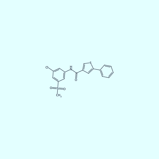 CS(=O)(=O)c1cc(Cl)cc(NC(=O)c2csc(-c3ccccc3)c2)c1